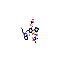 CCCCC1=NC2(CCCC2)C(=O)N1Cc1ccc(-c2ccccc2[S+]([O-])Nc2noc(C)c2C)c(COC2COC2)c1